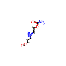 NC(=O)OCCNCCCO